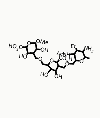 CCC1C(N)C(C)OC(COCC2C(C(=O)O)OC(COCC3C(O)C(OC)OC(C(=O)O)C3O)C(O)C2O)C1NC(C)=O